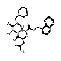 CC(C)[C@H]1C(=O)N(CC2CCCCC2)C[C@@H]2N(C(=O)OCc3cccc4ccccc34)O[C@@H](CC(N)=O)C(=O)N12